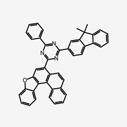 CC1(C)c2ccccc2-c2ccc(-c3nc(-c4ccccc4)nc(-c4cc5oc6ccccc6c5c5c4ccc4ccccc45)n3)cc21